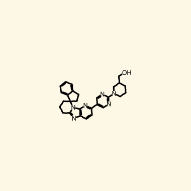 OCC1CCCN(c2ncc(-c3ccc4nc5n(c4n3)C3(CCC5)CCc4ccccc43)cn2)C1